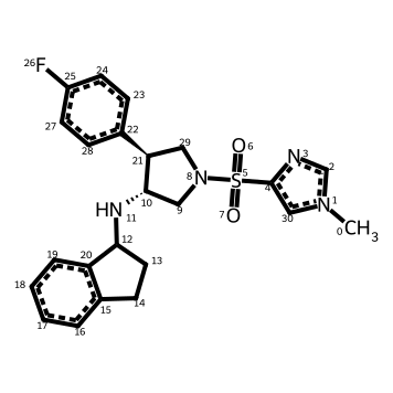 Cn1cnc(S(=O)(=O)N2C[C@H](NC3CCc4ccccc43)[C@@H](c3ccc(F)cc3)C2)c1